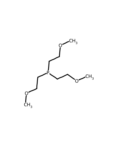 COCCP(CCOC)CCOC